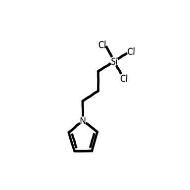 Cl[Si](Cl)(Cl)CCCn1cccc1